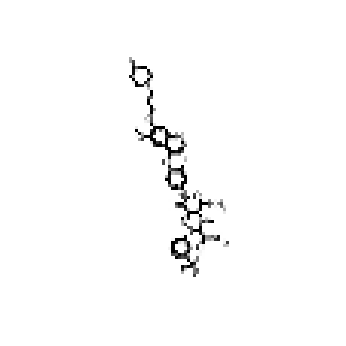 COc1cc2c(Oc3ccc(NC(=O)C4=NN(c5cccc(C(F)(F)F)c5)C(C(N)=O)N(C)C4C(N)=O)cc3F)ccnc2cc1OCCCN1CCN(C)CC1